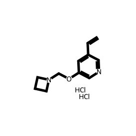 C=Cc1cncc(OCN2CCC2)c1.Cl.Cl